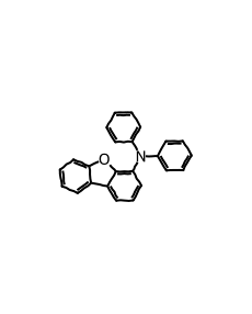 c1ccc(N(c2ccccc2)c2cccc3c2oc2ccccc23)cc1